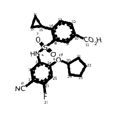 N#Cc1cc(NS(=O)(=O)c2cc(C(=O)O)ccc2C2CC2)c(OC2CCCC2)cc1F